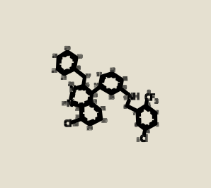 FC(F)(F)c1ccc(Cl)cc1CNc1cccc(-c2c(Cc3ccccc3)nnc3c(Cl)cccc23)c1